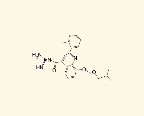 Cc1ccccc1-c1cc(C(=O)NC(=N)N)c2cccc(OCOCC(C)C)c2n1